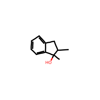 CC1Cc2ccccc2C1(C)O